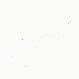 C1=C[N]c2ccc3ccccc3c2C1